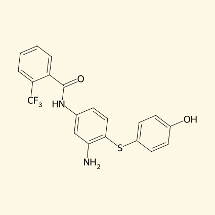 Nc1cc(NC(=O)c2ccccc2C(F)(F)F)ccc1Sc1ccc(O)cc1